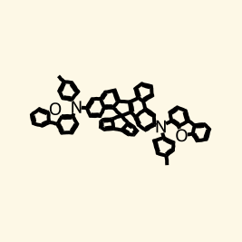 Cc1ccc(N(c2ccc3c4c(ccc3c2)-c2c(c3ccc(N(c5ccc(C)cc5)c5cccc6c5oc5ccccc56)cc3c3ccccc23)C42c3ccccc3-c3ccccc32)c2cccc3c2oc2ccccc23)cc1